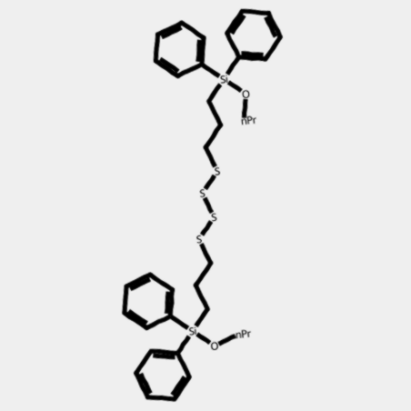 CCCO[Si](CCCSSSSCCC[Si](OCCC)(c1ccccc1)c1ccccc1)(c1ccccc1)c1ccccc1